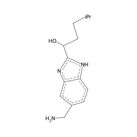 CC(C)CCC(O)c1nc2cc(CN)ccc2[nH]1